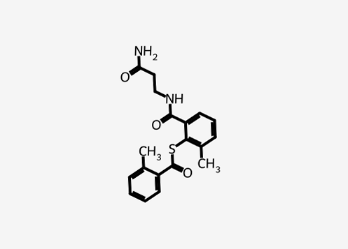 Cc1ccccc1C(=O)Sc1c(C)cccc1C(=O)NCCC(N)=O